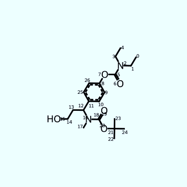 CCN(CC)C(=O)Oc1ccc(C(CCO)N(C)C(=O)OC(C)(C)C)cc1